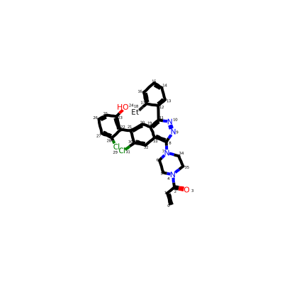 C=CC(=O)N1CCN(c2nnc(-c3ccccc3CC)c3cc(-c4c(O)cccc4Cl)c(Cl)cc23)CC1